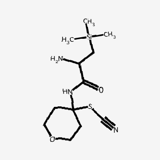 C[Si](C)(C)CC(N)C(=O)NC1(SC#N)CCOCC1